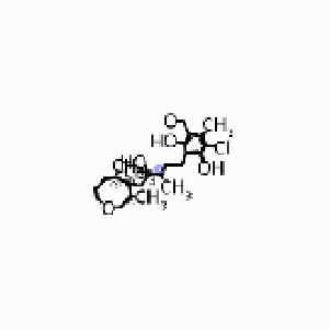 C/C(=C\Cc1c(O)c(Cl)c(C)c(C=O)c1O)[C@H](O)C[C@@]1(C)[C@H](C)CCCOC[C@@H]1C